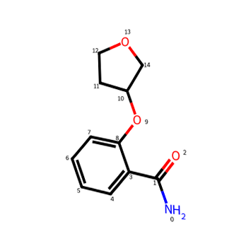 NC(=O)c1ccccc1OC1CCOC1